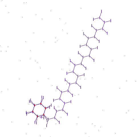 II(I)I(I)I(I)I(I)I(I)I(I)I(I)I(I)I(I)I(I)I(I)I(I)I(I)I(I)I(I)I(I)I(I)I(I)I(I)I(I)I(I)I(I)I(I)I(I)I(I)I(I)I(I)I(I)I(I)I(I)I(I)I(I)I(I)I(I)I(I)I(I)I